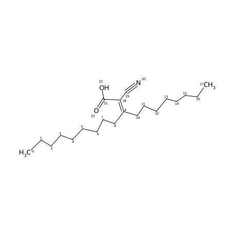 CCCCCCCCCC(CCCCCCCC)=C(C#N)C(=O)O